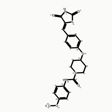 O=C1NC(=O)C(=Cc2ccc(OC3CCN(C(=O)Nc4ccc(OC(F)(F)F)cc4)CC3)cc2)S1